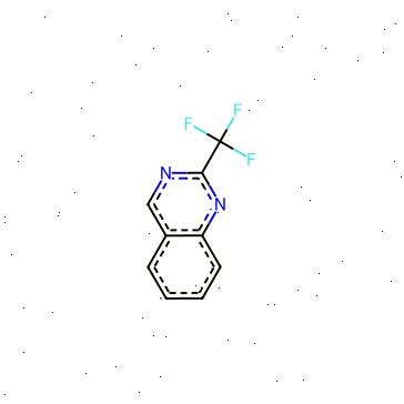 FC(F)(F)c1ncc2c[c]ccc2n1